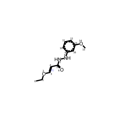 CCO/C=C/C(=O)NNc1cccc(OC)c1